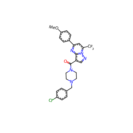 COc1ccc(-c2cc(C(F)(F)F)n3ncc(C(=O)N4CCN(Cc5ccc(Cl)cc5)CC4)c3n2)cc1